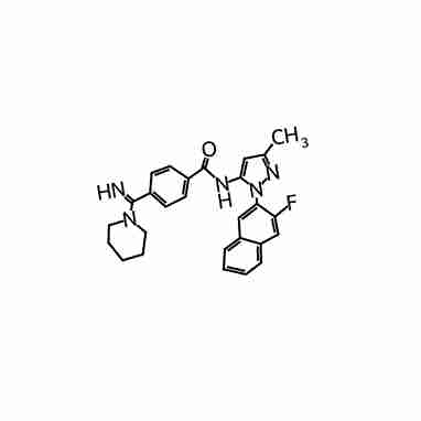 Cc1cc(NC(=O)c2ccc(C(=N)N3CCCCC3)cc2)n(-c2cc3ccccc3cc2F)n1